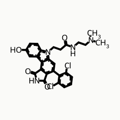 CN(C)CCNC(=O)CCn1c2ccc(O)cc2c2c3c(c(-c4c(Cl)cccc4Cl)cc21)C(=O)NC3=O